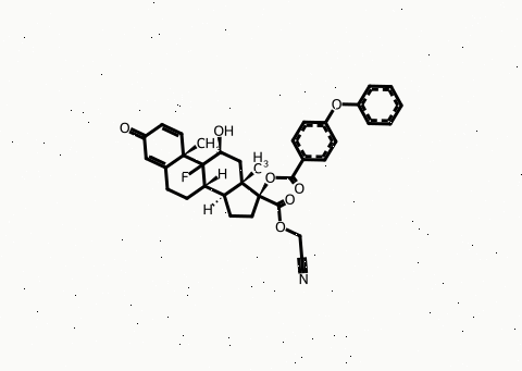 C[C@]12C=CC(=O)C=C1CC[C@H]1[C@@H]3CC[C@@](OC(=O)c4ccc(Oc5ccccc5)cc4)(C(=O)OCC#N)[C@@]3(C)C[C@H](O)C12F